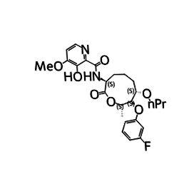 CCCO[C@H]1CCC[C@H](NC(=O)c2nccc(OC)c2O)C(=O)O[C@@H](C)[C@@H]1Oc1cccc(F)c1